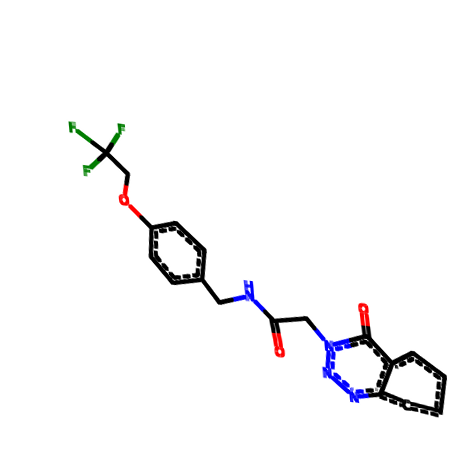 O=C(Cn1nnc2ccccc2c1=O)NCc1ccc(OCC(F)(F)F)cc1